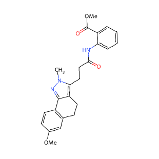 COC(=O)c1ccccc1NC(=O)CCc1c2c(nn1C)-c1ccc(OC)cc1CC2